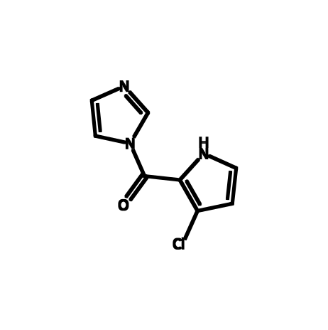 O=C(c1[nH]ccc1Cl)n1ccnc1